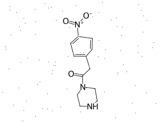 O=C(Cc1ccc([N+](=O)[O-])cc1)N1CCNCC1